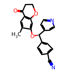 Cc1cc2c(cc1O[C@@H](c1ccncc1)c1ccc(C#N)cc1)OCCC2=O